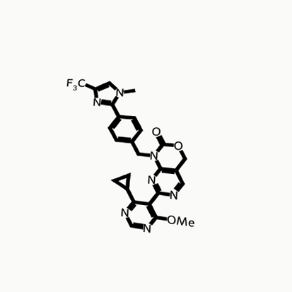 COc1ncnc(C2CC2)c1-c1ncc2c(n1)N(Cc1ccc(-c3nc(C(F)(F)F)cn3C)cc1)C(=O)OC2